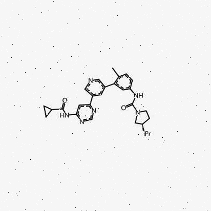 Cc1ccc(NC(=O)N2CC[C@@H](C(C)C)C2)cc1-c1cncc(-c2cc(NC(=O)C3CC3)ncn2)c1